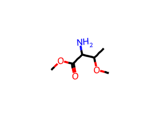 COC(=O)C(N)C(C)OC